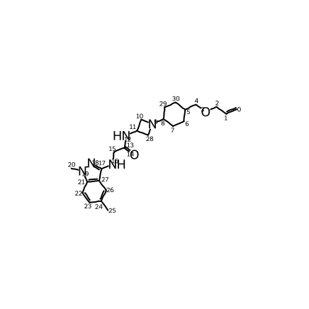 C=CCOCC1CCC(N2CC(NC(=O)CNc3nn(C)c4ccc(C)cc34)C2)CC1